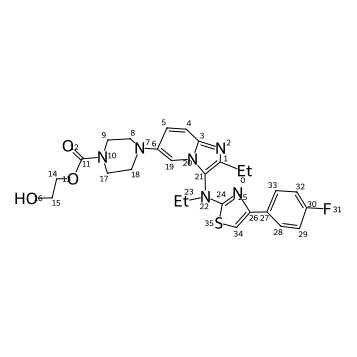 CCc1nc2ccc(N3CCN(C(=O)OCCO)CC3)cn2c1N(CC)c1nc(-c2ccc(F)cc2)cs1